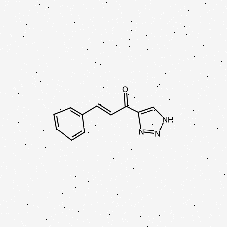 O=C(/C=C/c1ccccc1)c1c[nH]nn1